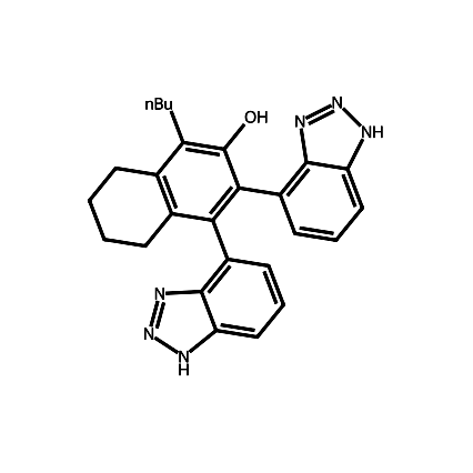 CCCCc1c(O)c(-c2cccc3[nH]nnc23)c(-c2cccc3[nH]nnc23)c2c1CCCC2